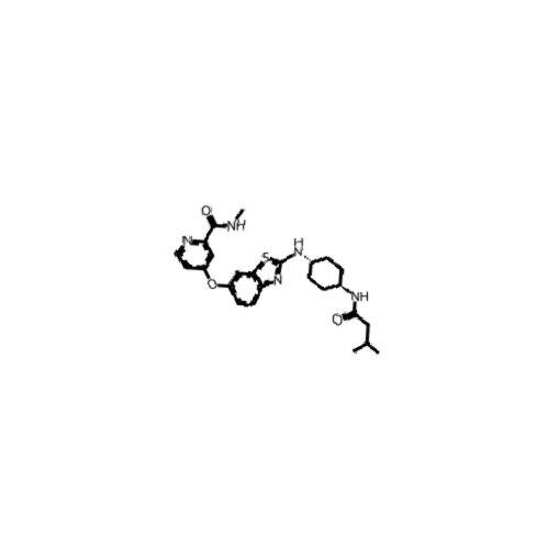 CNC(=O)c1cc(Oc2ccc3nc(N[C@H]4CC[C@H](NC(=O)CC(C)C)CC4)sc3c2)ccn1